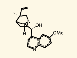 C=C[C@@]1(C)CN2CCC1C[C@H]2[C@H](O)c1ccnc2ccc(OC)cc12